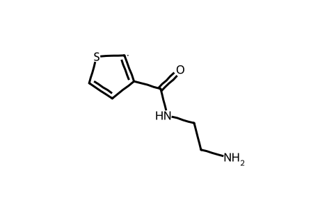 NCCNC(=O)c1[c]scc1